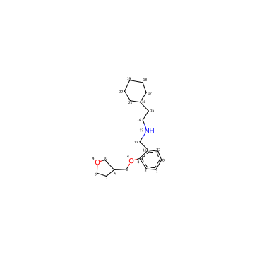 c1ccc(OCC2CCOC2)c(CNCCC2CCCCC2)c1